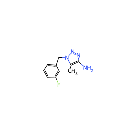 Cc1c(N)nnn1Cc1cccc(F)c1